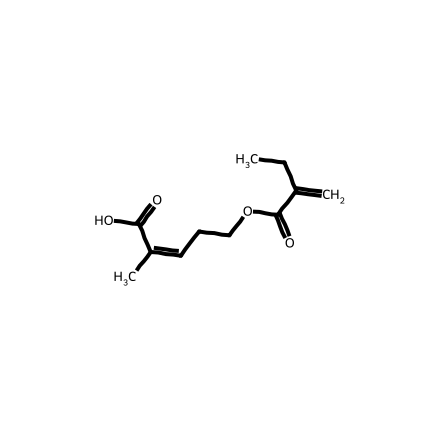 C=C(CC)C(=O)OCCC=C(C)C(=O)O